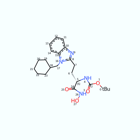 CC(C)(C)OC(=O)N[C@@H](CCc1nc2ccccc2n1CC1CCCCC1)C(=O)NO